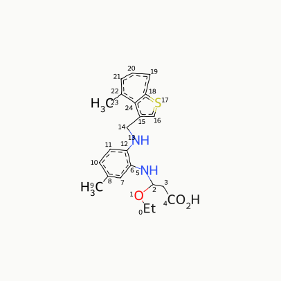 CCOC(CC(=O)O)Nc1cc(C)ccc1NCc1csc2cccc(C)c12